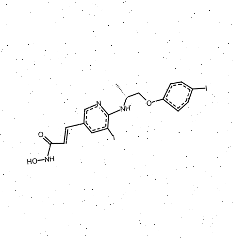 C[C@H](COc1ccc(I)cc1)Nc1ncc(/C=C/C(=O)NO)cc1I